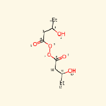 CCC(O)CC(=O)OOC(=O)CC(O)CC